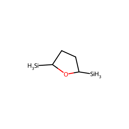 [SiH3]C1CCC([SiH3])O1